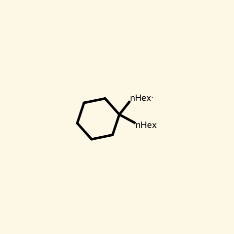 CCCCC[CH]C1(CCCCCC)CCCCC1